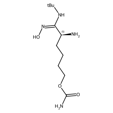 CC(C)(C)NC(=NO)[C@@H](N)CCCCOC(N)=O